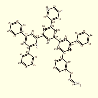 C=CCc1cccc(-c2nc(-c3ccccc3)nc(-c3nc(-c4cccnc4)nc(-c4nc(-c5ccccc5)nc(-c5ccccc5)n4)n3)n2)c1